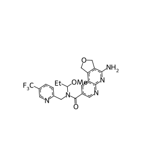 CCC(OC)N(Cc1ccc(C(F)(F)F)cn1)C(=O)c1cnc2nc(N)c3c(c2c1)COC3